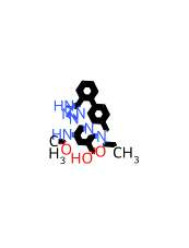 CCCN(Cc1ccc(-c2ccccc2-c2nnn[nH]2)cc1)c1ncc(NC(C)=O)cc1C(=O)O